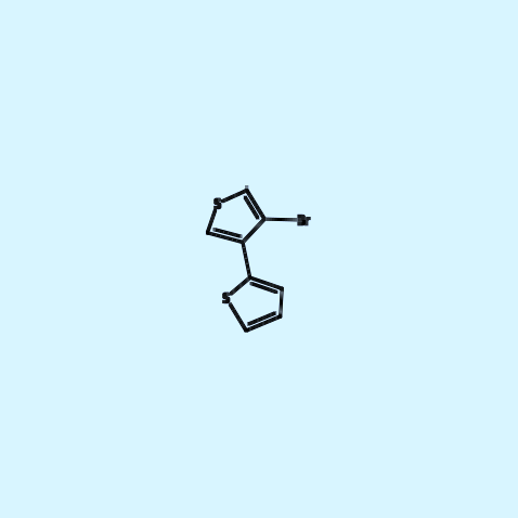 Brc1[c]scc1-c1cccs1